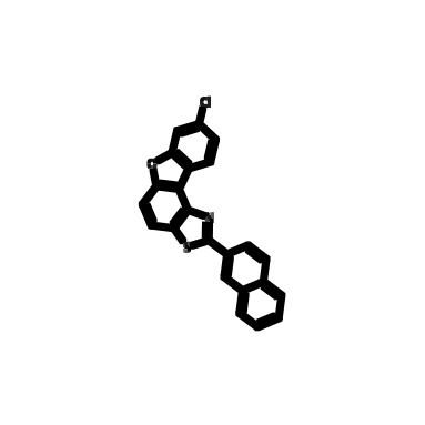 Clc1ccc2c(c1)oc1ccc3sc(-c4ccc5ccccc5c4)nc3c12